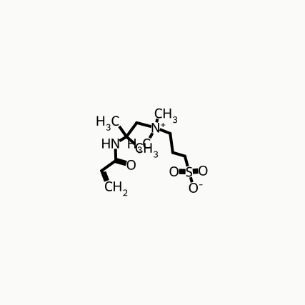 C=CC(=O)NC(C)(C)C[N+](C)(C)CCCS(=O)(=O)[O-]